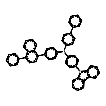 c1ccc(-c2ccc(N(c3ccc(-c4ccc(-c5ccccc5)c5ccccc45)cc3)c3ccc(-n4c5ccccc5c5ccccc54)cc3)cc2)cc1